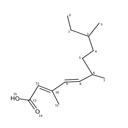 CCC(C)CCC(C)/C=C/C(C)=C/C(=O)O